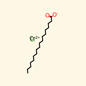 CCCCCCCCCCCCCCCCCC(=O)[O-].[Cl-].[Cr+2]